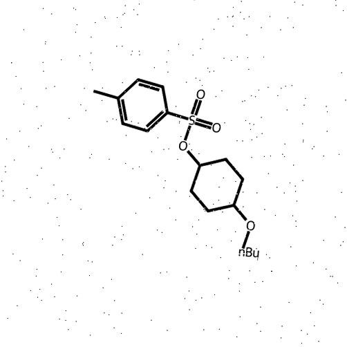 CCCCOC1CCC(OS(=O)(=O)c2ccc(C)cc2)CC1